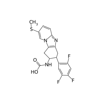 CSc1ccc2nc3c(n2c1)CC(NC(=O)O)C(c1cc(F)c(F)cc1F)C3